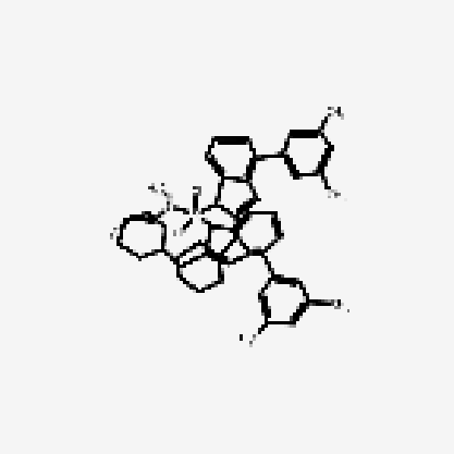 Cc1cc(C)cc(-c2cccc3c2C=C(CC2CCCCC2)[CH]3[Zr]([Cl])([Cl])([CH]2C(CC3CCCCC3)=Cc3c(-c4cc(C)cc(C)c4)cccc32)[SiH](C)CCC(F)(F)F)c1